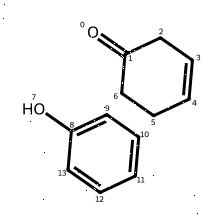 O=C1CC=CCC1.Oc1ccccc1